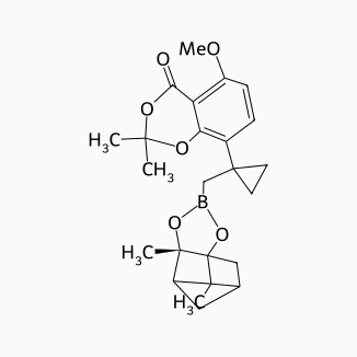 COc1ccc(C2(CB3OC45CC6CC(C64C)[C@]5(C)O3)CC2)c2c1C(=O)OC(C)(C)O2